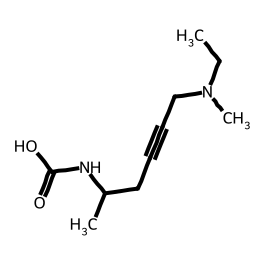 CCN(C)CC#CCC(C)NC(=O)O